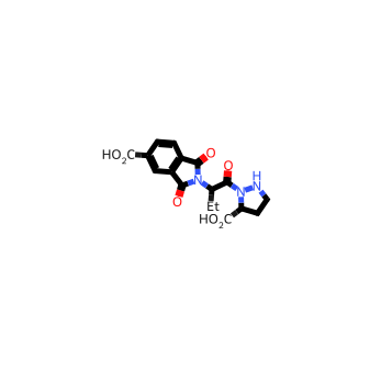 CCC(C(=O)N1NCCC1C(=O)O)N1C(=O)c2ccc(C(=O)O)cc2C1=O